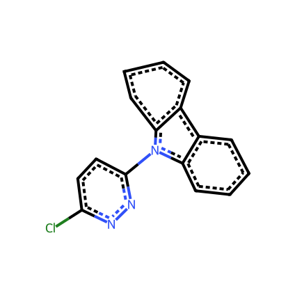 Clc1ccc(-n2c3ccccc3c3ccccc32)nn1